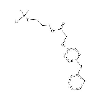 CCC(C)(C)OCCCOC(=O)COc1ccc(Sc2ccccc2)cc1